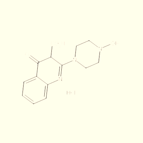 Cl.O=C(O)C1C(=O)c2ccccc2N=C1N1CCN(O)CC1